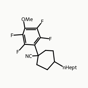 CCCCCCCC1CCC(C#N)(c2c(F)c(F)c(OC)c(F)c2F)CC1